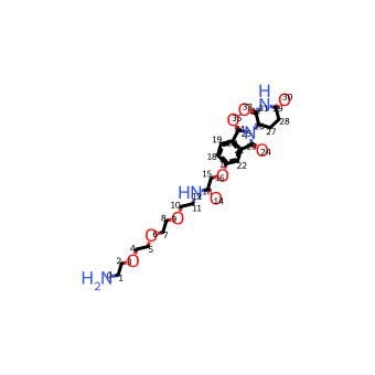 NCCOCCOCCOCCNC(=O)COc1ccc2c(c1)C(=O)N(C1CCC(=O)NC1=O)C2=O